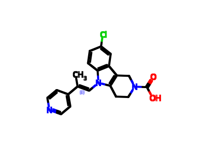 C/C(=C\n1c2c(c3cc(Cl)ccc31)CN(C(=O)O)CC2)c1ccncc1